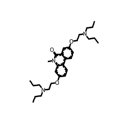 CCCN(CCC)CCOc1ccc2c(c1)c(=O)n(C)c1cc(OCCN(CCC)CCC)ccc21